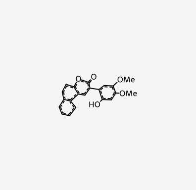 COc1cc(O)c(-c2cc3c(ccc4ccccc43)oc2=O)cc1OC